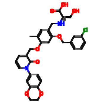 Cc1cc(CN[C@H](CO)C(=O)O)c(OCc2cccc(Cl)c2)cc1OCc1cccn(-c2ccc3c(c2)OCCO3)c1=O